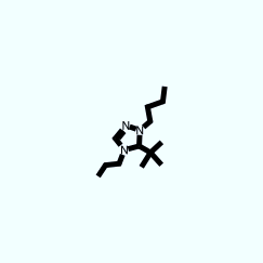 CCCCN1N=CN(CCC)C1C(C)(C)C